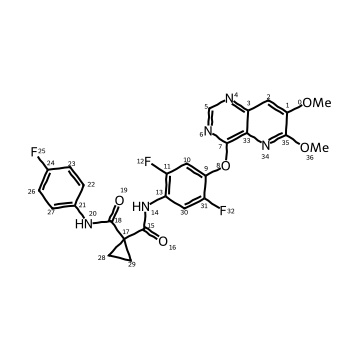 COc1cc2ncnc(Oc3cc(F)c(NC(=O)C4(C(=O)Nc5ccc(F)cc5)CC4)cc3F)c2nc1OC